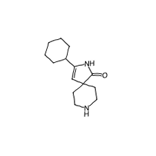 O=C1NC(C2CCCCC2)=CC12CCNCC2